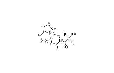 C[C@H]1C[C@@]2(CCN1C(=O)C(F)(F)F)OCCc1ccsc12